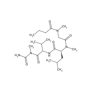 CCCC(=O)N(C)CC(=O)N(C)[C@@H](CC(C)C)C(=O)NC(C(=O)N(C)C(N)=O)C(C)C